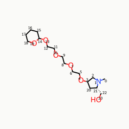 CN1C[C@H](OCCOCCOCCOC2CCCCO2)C[C@H]1CO